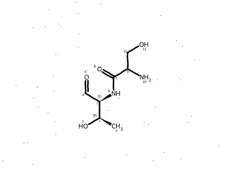 C[C@@H](O)[C@@H](C=O)NC(=O)C(N)CO